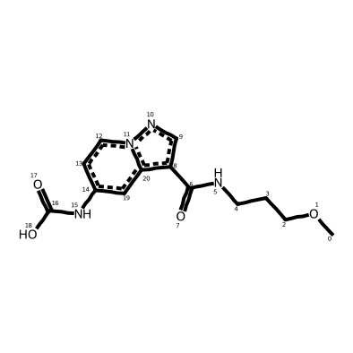 COCCCNC(=O)c1cnn2ccc(NC(=O)O)cc12